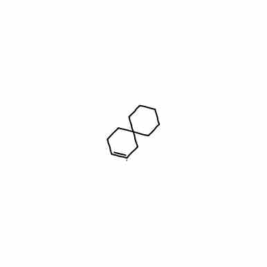 [C]1=CCCC2(C1)CCCCC2